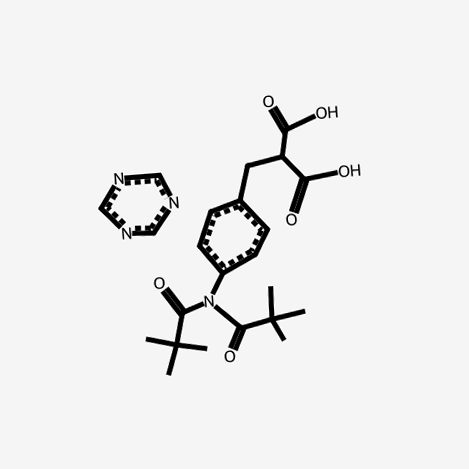 CC(C)(C)C(=O)N(C(=O)C(C)(C)C)c1ccc(CC(C(=O)O)C(=O)O)cc1.c1ncncn1